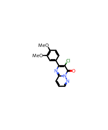 COc1ccc(-c2nc3cccnn3c(=O)c2Cl)cc1OC